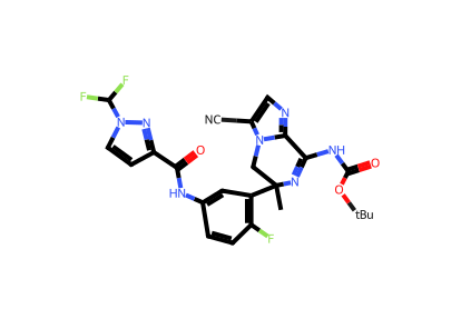 CC(C)(C)OC(=O)NC1=NC(C)(c2cc(NC(=O)c3ccn(C(F)F)n3)ccc2F)Cn2c(C#N)cnc21